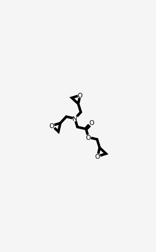 O=C(CN(CC1CO1)CC1CO1)OCC1CO1